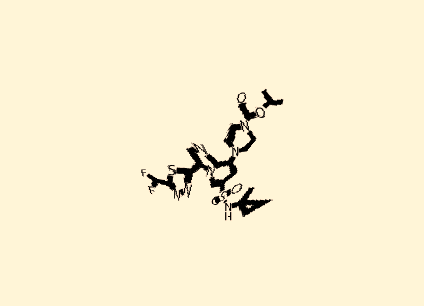 CC(C)OC(=O)N1CCN(c2cc(S(=O)(=O)NC3(C)CC3)cn3c(-c4nnc(C(F)F)s4)cnc23)CC1